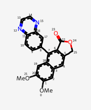 COc1cc2cc3c(c(-c4ccc5nccnc5c4)c2cc1OC)C(=O)OC3